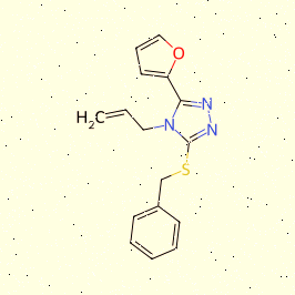 C=CCn1c(SCc2ccccc2)nnc1-c1ccco1